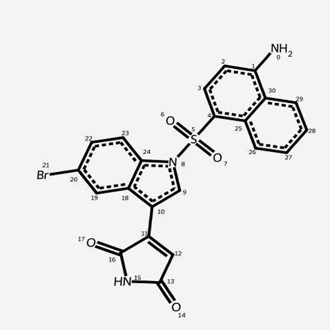 Nc1ccc(S(=O)(=O)n2cc(C3=CC(=O)NC3=O)c3cc(Br)ccc32)c2ccccc12